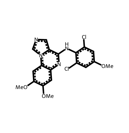 COc1cc(Cl)c(Nc2nc3cc(OC)c(OC)cc3n3cncc23)c(Cl)c1